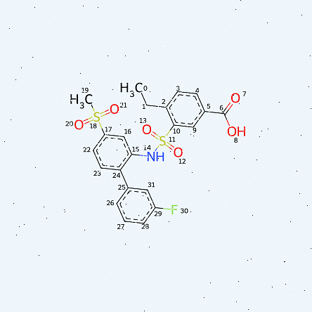 CCc1ccc(C(=O)O)cc1S(=O)(=O)Nc1cc(S(C)(=O)=O)ccc1-c1cccc(F)c1